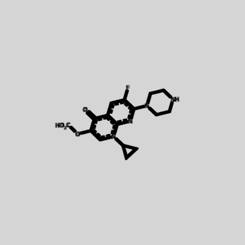 O=C(O)Oc1cn(C2CC2)c2nc(N3CCNCC3)c(F)cc2c1=O